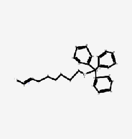 I/C=C/CCCCCCOC(c1ccccc1)(c1ccccc1)c1ccccc1